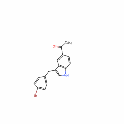 COC(=O)c1ccc2[nH]cc(Cc3ccc(Br)cc3)c2c1